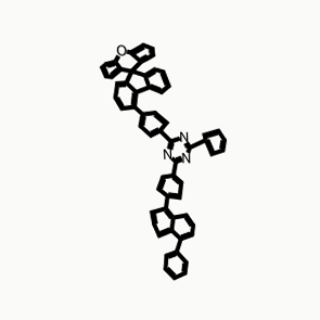 c1ccc(-c2nc(-c3ccc(-c4cccc5c4-c4ccccc4C54c5ccccc5Oc5ccccc54)cc3)nc(-c3ccc(-c4cccc5c(-c6ccccc6)cccc45)cc3)n2)cc1